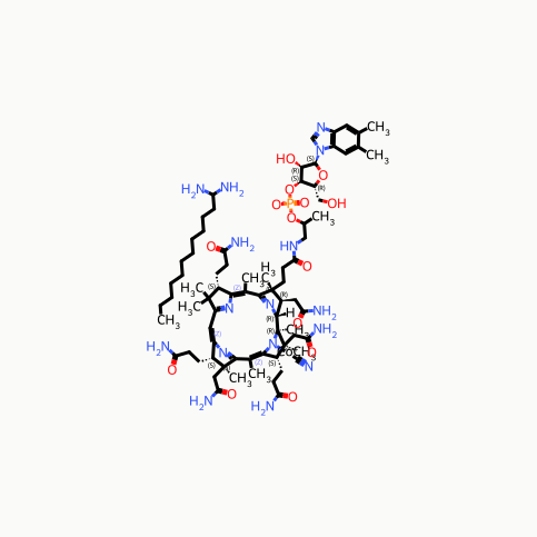 C/C1=C2N=C(/C=C3N=C(/C(C)=C4/[C@@H](CCC(N)=O)[C@](C)(CC(N)=O)[C@](C)([C@@H]5N=C1[C@](C)(CCC(=O)NCC(C)OP(=O)([O-])O[C@H]1[C@@H](O)[C@@H](n6cnc7cc(C)c(C)cc76)O[C@@H]1CO)[C@H]5CC(N)=O)[N]4[Co+][C]#N)[C@@](C)(CC(N)=O)[C@@H]\3CCC(N)=O)C(C)(C)[C@@H]/2CCC(N)=O.CCCCCCCCCCCC(N)N